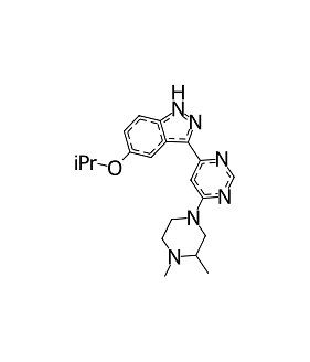 CC(C)Oc1ccc2[nH]nc(-c3cc(N4CCN(C)C(C)C4)ncn3)c2c1